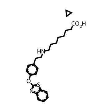 C1CC1.O=C(O)CCCCCCCNCCc1ccc(Oc2nc3ccccc3s2)cc1